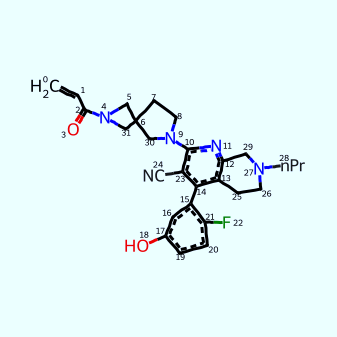 C=CC(=O)N1CC2(CCN(c3nc4c(c(-c5cc(O)ccc5F)c3C#N)CCN(CCC)C4)C2)C1